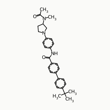 CC(=O)N(C)C1CCN(c2ccc(NC(=O)c3ccc(-c4ccc(C(C)(C)C)cc4)cc3)cc2)C1